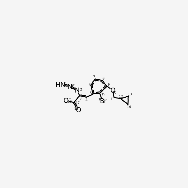 N=[N+]=NC(=Cc1cccc(OCC2CC2)c1Br)C(=O)[O-]